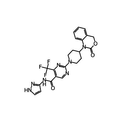 O=C(Nc1cc[nH]n1)c1cnc(N2CCC(N3C(=O)OCc4ccccc43)CC2)nc1C(F)(F)F